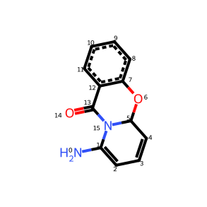 NC1=CC=CC2Oc3ccccc3C(=O)N12